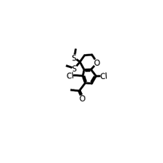 CSC1(SC)CCOc2c(Cl)cc(C(C)=O)c(Cl)c21